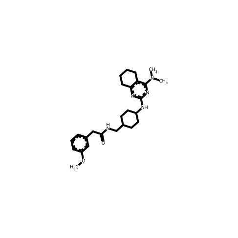 COc1cccc(CC(=O)NCC2CCC(Nc3nc4c(c(N(C)C)n3)CCCC4)CC2)c1